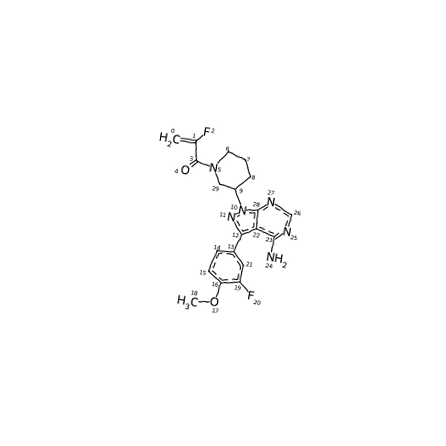 C=C(F)C(=O)N1CCCC(n2nc(-c3ccc(OC)c(F)c3)c3c(N)ncnc32)C1